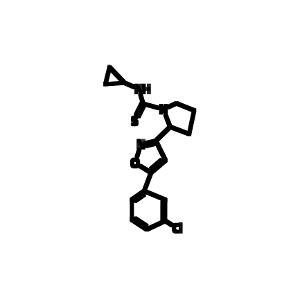 S=C(NC1CC1)N1CCCC1c1cc(-c2cccc(Cl)c2)on1